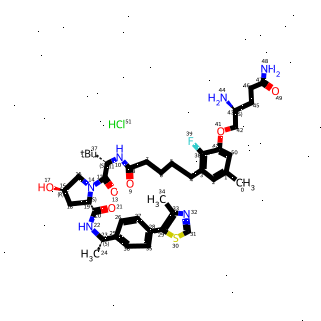 Cc1cc(CCCCC(=O)N[C@H](C(=O)N2C[C@H](O)C[C@H]2C(=O)N[C@@H](C)c2ccc(-c3scnc3C)cc2)C(C)(C)C)c(F)c(OC[C@@H](N)CCC(N)=O)c1.Cl